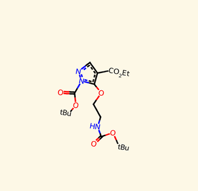 CCOC(=O)c1cnn(C(=O)OC(C)(C)C)c1OCCNC(=O)OC(C)(C)C